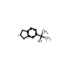 CCC(C)(C)c1ccc2c(c1)CCC2